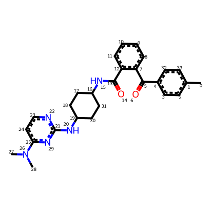 Cc1ccc(C(=O)c2ccccc2C(=O)NC2CCC(Nc3nccc(N(C)C)n3)CC2)cc1